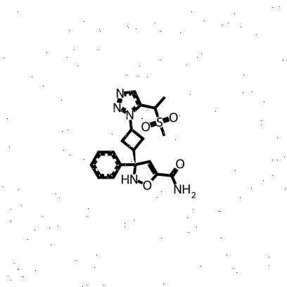 CC(c1cnnn1C1CC([C@@]2(c3ccccc3)C=C(C(N)=O)ON2)C1)S(C)(=O)=O